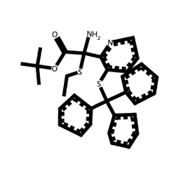 CCSC(N)(C(=O)OC(C)(C)C)c1ncccc1SC(c1ccccc1)(c1ccccc1)c1ccccc1